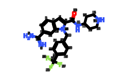 N=C(N)c1ccc2cc(C(=O)NC3CCNCC3)n(Cc3ccc(C(F)(F)F)cc3)c2c1